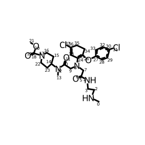 CNCCNC(=O)CN(CC(=O)N(C)C1CCN(C(=O)OC)CC1)C1=C(Oc2ccc(Cl)cc2)CCC(Cl)=C1